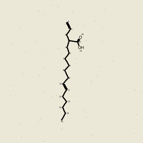 C=CCC(CCCCCCC=CCCCCC)C(=O)O